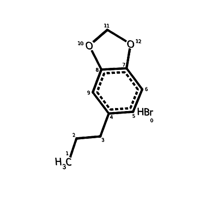 Br.CCCc1ccc2c(c1)OCO2